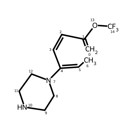 C=C(/C=C\C(=C/C)N1CCNCC1)OC(F)(F)F